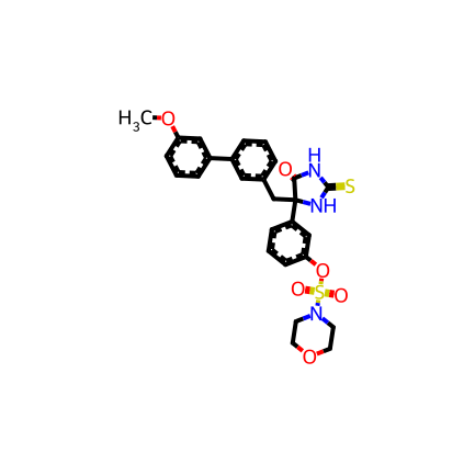 COc1cccc(-c2cccc(CC3(c4cccc(OS(=O)(=O)N5CCOCC5)c4)NC(=S)NC3=O)c2)c1